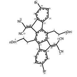 CCCCCCCCCCCCc1c2c(c(CCCCCCCCCCCC)c3c1-c1ccc(Br)cc1C3=C(C#N)C#N)-c1ccc(Br)cc1C2=C(C#N)C#N